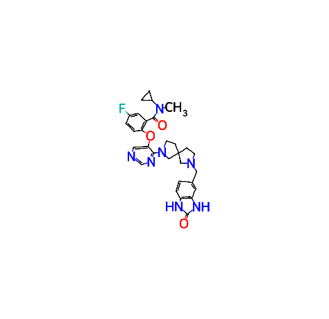 CN(C(=O)c1cc(F)ccc1Oc1cncnc1N1CCC2(CCN(Cc3ccc4[nH]c(=O)[nH]c4c3)C2)C1)C1CC1